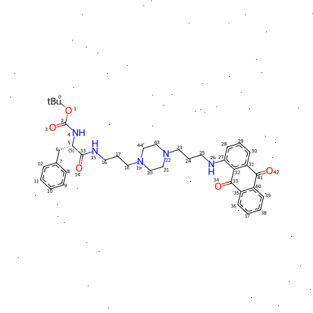 CC(C)(C)OC(=O)N[C@@H](Cc1ccccc1)C(=O)NCCCN1CCN(CCCNc2cccc3c2C(=O)c2ccccc2C3=O)CC1